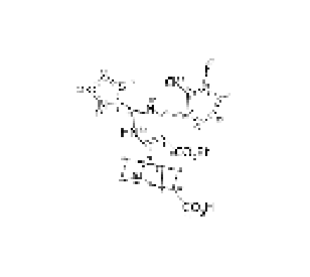 CCOC(=O)C1=C(C23C4C5C2C2C3C4C52C(=O)O)NC(c2nccs2)=N[C@@H]1c1cccc(F)c1Cl